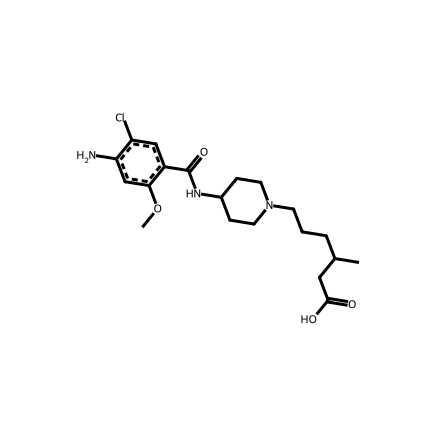 COc1cc(N)c(Cl)cc1C(=O)NC1CCN(CCCC(C)CC(=O)O)CC1